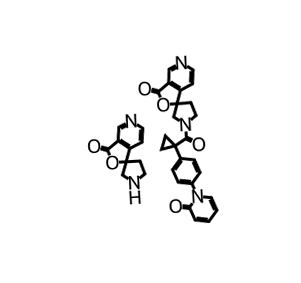 O=C1OC2(CCN(C(=O)C3(c4ccc(-n5ccccc5=O)cc4)CC3)C2)c2ccncc21.O=C1OC2(CCNC2)c2ccncc21